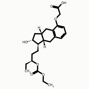 CCOC(=O)O[C@@H](CC)CC[C@@H]1[C@H]2Cc3cccc(OCC(=O)O)c3C[C@H]2C[C@H]1O